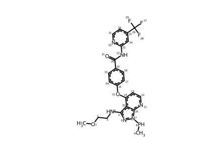 COCCNc1nn(PC)c2nccc(Oc3ccc(C(=O)Nc4cc(C(F)(F)F)ccn4)cc3)c12